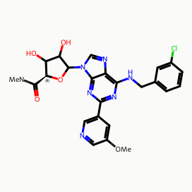 CNC(=O)[C@@H]1OC(n2cnc3c(NCc4cccc(Cl)c4)nc(-c4cncc(OC)c4)nc32)C(O)C1O